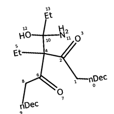 CCCCCCCCCCCC(=O)C(CC)(C(=O)CCCCCCCCCCC)C(N)(O)CC